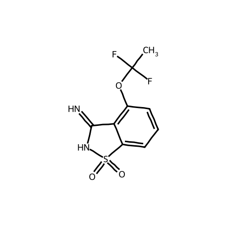 CC(F)(F)Oc1cccc2c1C(=N)NS2(=O)=O